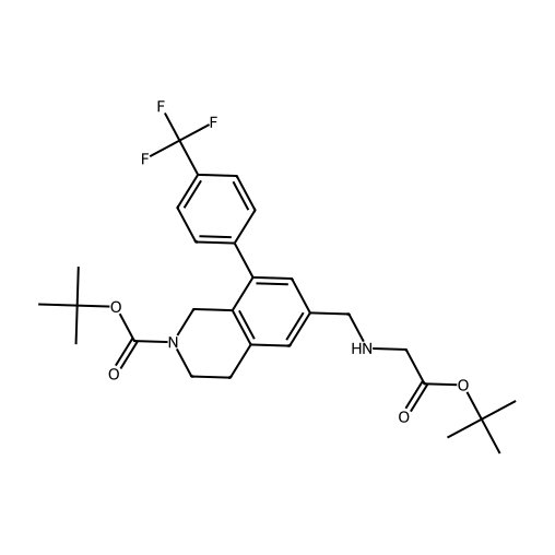 CC(C)(C)OC(=O)CNCc1cc2c(c(-c3ccc(C(F)(F)F)cc3)c1)CN(C(=O)OC(C)(C)C)CC2